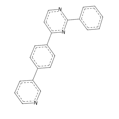 c1ccc(-c2nccc(-c3ccc(-c4cccnc4)cc3)n2)cc1